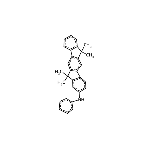 CC1(C)c2ccccc2-c2cc3c(cc21)-c1ccc(Nc2ccccc2)cc1C3(C)C